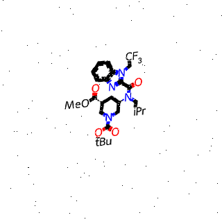 COC(=O)[C@@H]1C[C@H](N(CC(C)C)C(=O)c2nc3ccccc3n2CC(F)(F)F)CN(C(=O)OC(C)(C)C)C1